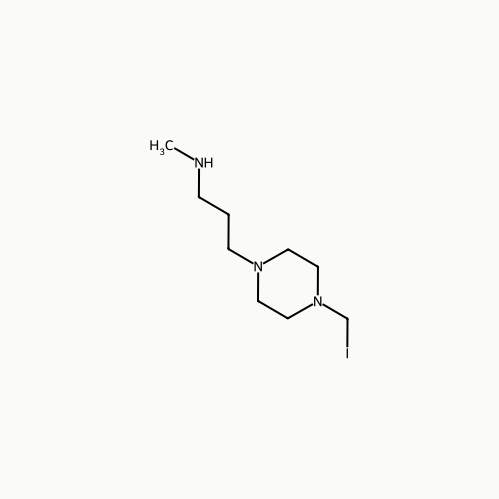 CNCCCN1CCN(CI)CC1